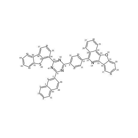 c1ccc2cc(-c3nc(-c4ccc(-c5nc6c7ccccc7oc6c6ccccc56)cc4)nc(-c4cccc5c4sc4ccccc45)n3)ccc2c1